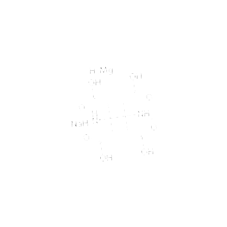 NC(CC(=O)O)(CC(=O)O)C(N)(CC(=O)O)CC(=O)O.[MgH2].[NaH]